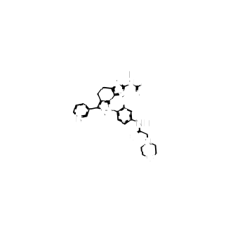 CC(=O)Nc1nc2c(s1)-c1c(c(-c3cccnc3)nn1-c1ccc(NC(=O)CN3CCOCC3)cc1F)CC2